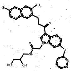 Cc1cc2cc(Cl)ccc2cc1OCC(=O)c1cn(CC(=O)NCC(O)CO)c2cc(Oc3cccnn3)ccc12